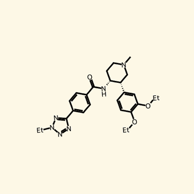 CCOc1ccc([C@H]2CN(C)CC[C@H]2NC(=O)c2ccc(-c3nnn(CC)n3)cc2)cc1OCC